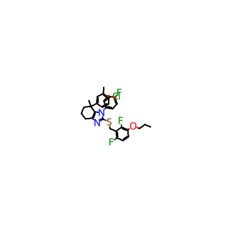 CCCOc1ccc(F)c(CSc2nc3c(n2-c2ccc(F)cc2)C(C)(c2ccc(Cl)c(C)c2)CCC3)c1F